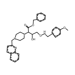 COc1ccc(CNOCC(O)C(C(=O)OCc2ccccc2)N2CCN(Cc3ccc4ccccc4n3)CC2)cc1